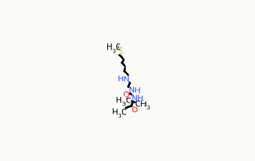 CCC(=O)C(C)(C)NC(=O)NCCNCCCCCCSC